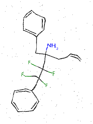 C=CCC(N)(Cc1ccccc1)C(F)(F)C(F)(F)c1ccccc1